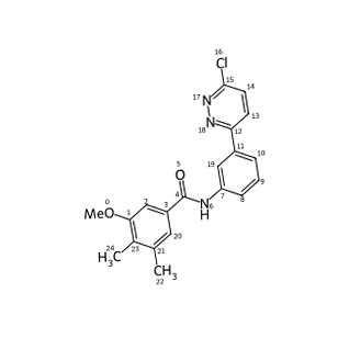 COc1cc(C(=O)Nc2cccc(-c3ccc(Cl)nn3)c2)cc(C)c1C